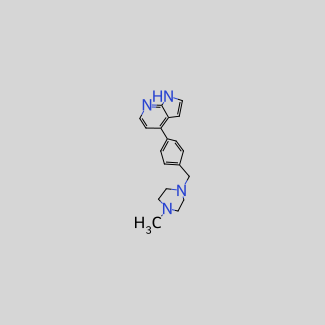 CN1CCN(Cc2ccc(-c3ccnc4[nH]ccc34)cc2)CC1